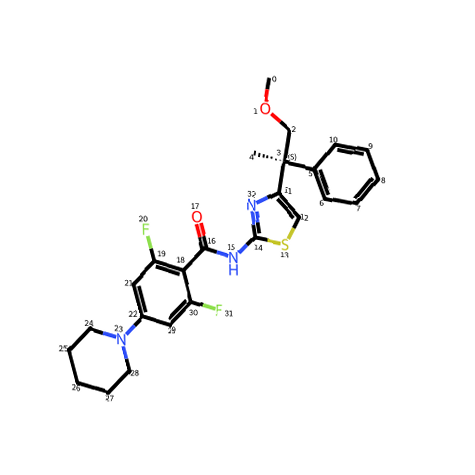 COC[C@@](C)(c1ccccc1)c1csc(NC(=O)c2c(F)cc(N3CCCCC3)cc2F)n1